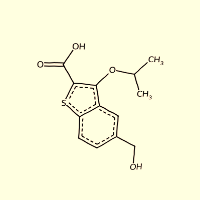 CC(C)Oc1c(C(=O)O)sc2ccc(CO)cc12